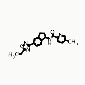 CCc1nc(-c2ccc3c(c2)CCC3NC(=O)c2ccc(C)cn2)no1